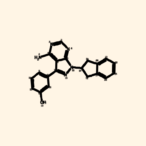 Nc1ncnc2c1c(-c1cccc(O)c1)nn2C1Cc2ccccc2C1